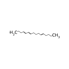 [CH2]CC/C=C/C=C/CCC/C=C/CCCC